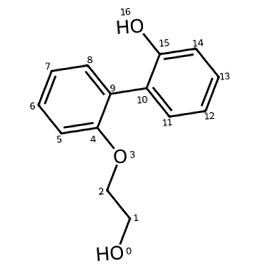 OCCOc1ccccc1-c1ccccc1O